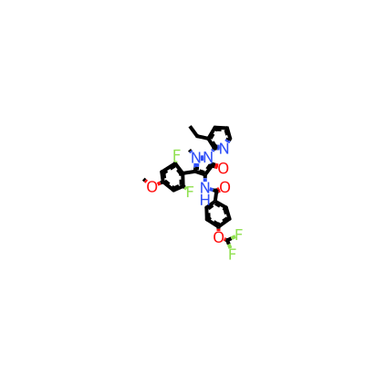 CCc1cccnc1-n1c(=O)c(NC(=O)c2ccc(OC(F)F)cc2)c(-c2c(F)cc(OC)cc2F)n1C